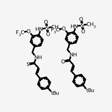 CC(C)(C)c1ccc(C=CC(=O)NCc2ccc(NS(C)(=O)=O)c(OC(F)(F)F)c2)cc1.CC(C)(C)c1ccc(C=CC(=S)NCc2ccc(NS(C)(=O)=O)c(OC(F)(F)F)c2)cc1